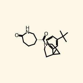 CC(C)(C)c1cccc(C23CCN(C(=O)[C@@H]4CCCC(=O)NC4)CC2C3)c1